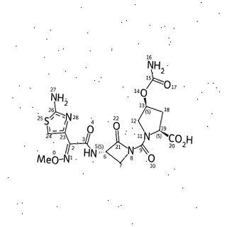 CON=C(C(=O)N[C@H]1CN(C(=O)N2C[C@@H](OC(N)=O)C[C@H]2C(=O)O)C1=O)c1csc(N)n1